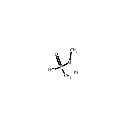 COP(C)(=O)O.[Pt]